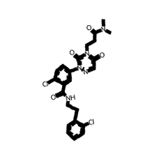 CN(C)C(=O)CCn1c(=O)cnn(-c2ccc(Cl)c(C(=O)NCCc3ccccc3Cl)c2)c1=O